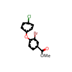 COC(=O)c1ccc(Oc2ccc(Cl)cc2)c(Br)c1